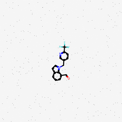 O=Cc1cccc2ccn(Cc3ccc(C(F)(F)F)nc3)c12